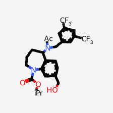 CC(=O)N(Cc1cc(C(F)(F)F)cc(C(F)(F)F)c1)C1CCCN(C(=O)OC(C)C)c2cc(CO)ccc21